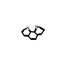 [c]1cnc2c(c1)ccc1[c]ccnc12